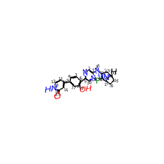 CN(c1cnc(-c2ccc(-c3cc[nH]c(=O)c3)cc2O)cn1)[C@H]1C[C@@H]2CCC(N2)[C@H]1F